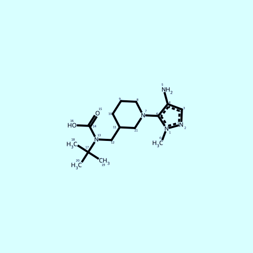 Cn1ncc(N)c1N1CCCC(CN(C(=O)O)C(C)(C)C)C1